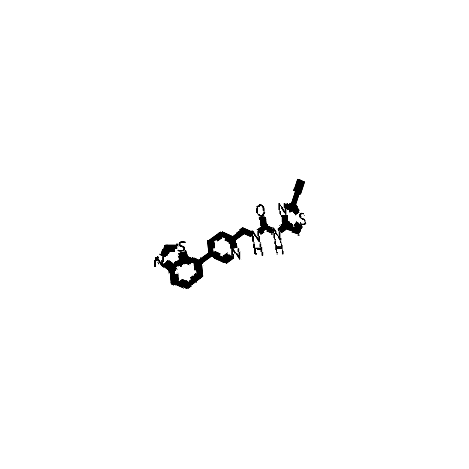 C#Cc1nc(NC(=O)NCc2ccc(-c3cccc4ncsc34)cn2)cs1